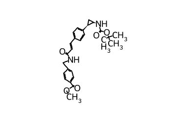 COC(=O)c1ccc(CNC(=O)/C=C/c2ccc([C@H]3C[C@@H]3NC(=O)OC(C)(C)C)cc2)cc1